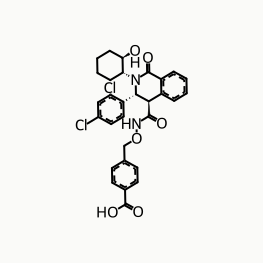 O=C(O)c1ccc(CONC(=O)[C@@H]2c3ccccc3C(=O)N([C@@H]3CCCC[C@H]3O)[C@H]2c2ccc(Cl)cc2Cl)cc1